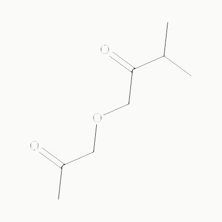 CC(=O)COCC(=O)C(C)C